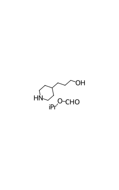 CC(C)OC=O.OCCCC1CCNCC1